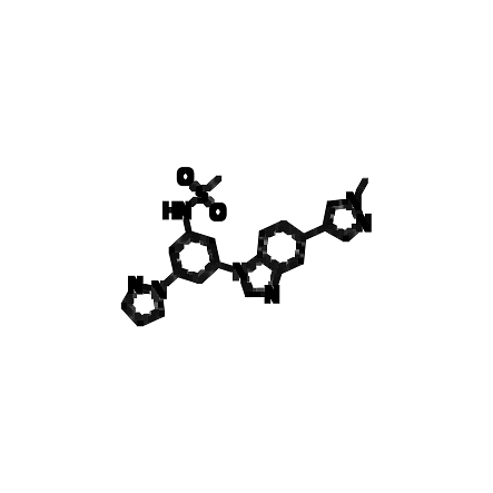 Cn1cc(-c2ccc3c(c2)ncn3-c2cc(NS(C)(=O)=O)cc(-n3cccn3)c2)cn1